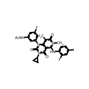 CC(=O)Nc1cc(F)cc(-n2c(=O)n(C3CC3)c(=O)c3c(Nc4ccc(I)cc4F)n(C)c(=O)c(C)c32)c1